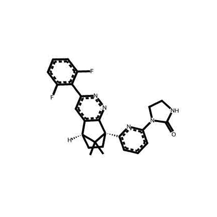 CC1(C)[C@H]2CC[C@]1(c1cccc(N3CCNC3=O)n1)c1nnc(-c3c(F)cccc3F)cc12